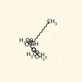 CCCCCCCCCCCCCCC(=O)N[C@@H](Cc1ccc(OC(C)(C)C)cc1)C(=O)OC